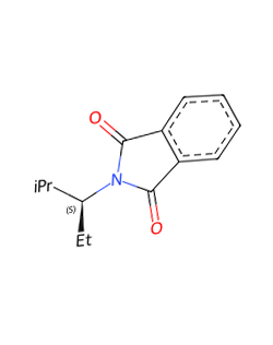 CC[C@@H](C(C)C)N1C(=O)c2ccccc2C1=O